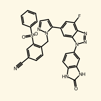 N#Cc1ccc(Cn2nccc2-c2cc(F)c3nnn(-c4ccc5[nH]c(=O)[nH]c5c4)c3c2)c(S(=O)(=O)c2ccccc2)c1